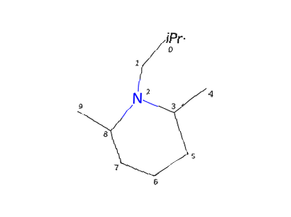 C[C](C)CN1C(C)CCCC1C